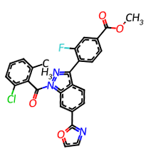 COC(=O)c1ccc(-c2nn(C(=O)c3c(C)cccc3Cl)c3cc(-c4ncco4)ccc23)c(F)c1